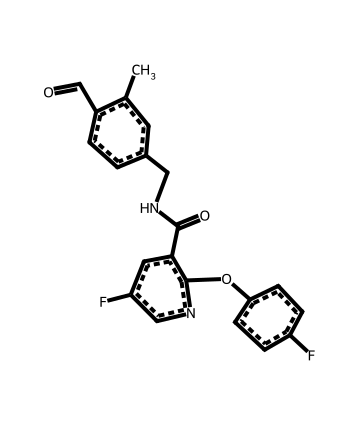 Cc1cc(CNC(=O)c2cc(F)cnc2Oc2ccc(F)cc2)ccc1C=O